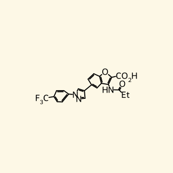 CCC(=O)Nc1c(C(=O)O)oc2ccc(-c3cnn(-c4ccc(C(F)(F)F)cc4)c3)cc12